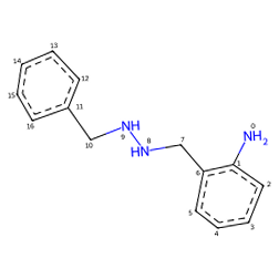 Nc1ccccc1CNNCc1ccccc1